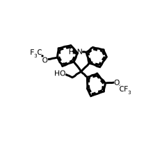 Nc1ccccc1C(CO)(c1cccc(OC(F)(F)F)c1)c1cccc(OC(F)(F)F)c1